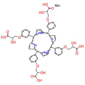 O=C(O)C(O)COc1cccc(-c2c3nc(c(-c4cccc(OCC(O)C(=O)O)c4)c4ccc([nH]4)c(-c4cccc(OCC(O)C(=O)O)c4)c4nc(c(-c5cccc(OCC(O)C(=O)O)c5)c5ccc2[nH]5)C=C4)C=C3)c1.[Mn]